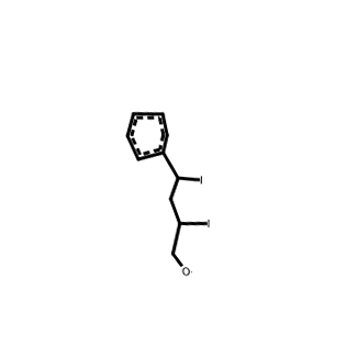 [O]CC(I)CC(I)c1ccccc1